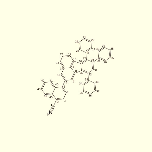 N#Cc1ccc(-c2cc3c4c(cccc4c2)-c2c(-c4ccccc4)c(-c4ccccc4)cc(-c4ccccc4)c2-3)c2ccccc12